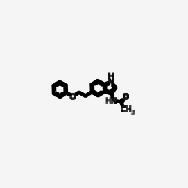 CC(=O)Nc1c[nH]c2ccc(CCOc3ccccc3)cc12